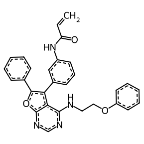 C=CC(=O)Nc1cccc(-c2c(-c3ccccc3)oc3ncnc(NCCOc4ccccc4)c23)c1